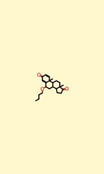 CCCCOC1CC2C(CCC3(C)C(=O)CCC23)C2(C)C=CC(=O)C=C12